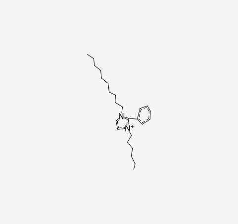 CCCCCCCCCCn1cc[n+](CCCCCC)c1-c1ccccc1